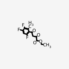 CCOC(=O)C(=O)CC(=O)c1c(F)cc(F)c(F)c1C